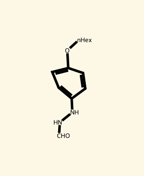 CCCCCCOc1ccc(NNC=O)cc1